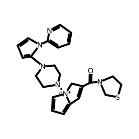 O=C(C1=CC2=CC=C[N@@+]2(N2CCN(c3cccn3-c3ccccn3)CC2)C1)N1CCSC1